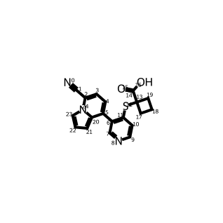 N#Cc1ccc(-c2cnccc2SC2(C(=O)O)CCC2)c2cccn12